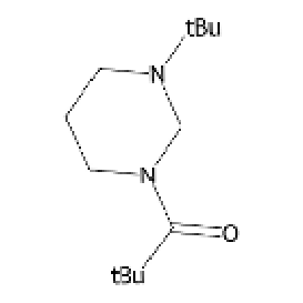 CC(C)(C)C(=O)N1CCCN(C(C)(C)C)C1